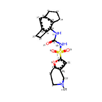 CCN1CCc2oc(S(=O)(=O)NC(=O)Nc3c4c(cc5c3CC5)CCC4)cc2C1